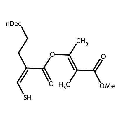 CCCCCCCCCCCCC(=CS)C(=O)OC(C)=C(C)C(=O)OC